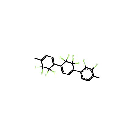 CC1=CC=C(C2=CC=C(c3ccc(C)c(F)c3F)C(F)(F)C2(F)F)C(F)(F)C1(F)F